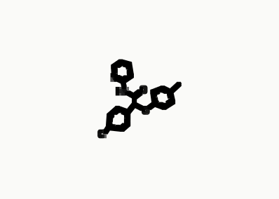 Cc1ccc(OC(C(=O)Nc2ccccn2)c2ccc(Cl)cc2)cc1